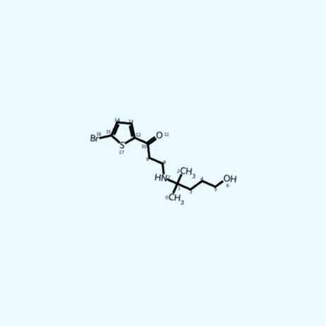 CC(C)(CCCO)NCCC(=O)c1ccc(Br)s1